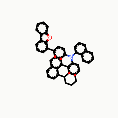 c1ccc(N(c2ccc(-c3cccc4c3oc3ccccc34)cc2)c2cccc3ccccc23)c(-c2cccc3cccc(C4CCCCC4)c23)c1